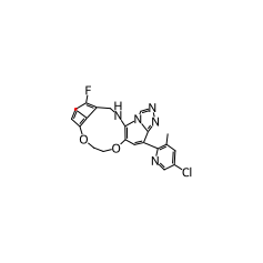 Cc1cc(Cl)cnc1-c1cc2c(n3cnnc13)NCc1c(F)ccc(c1C)OCCO2